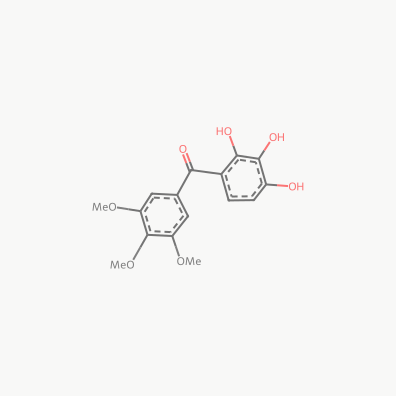 COc1cc(C(=O)c2ccc(O)c(O)c2O)cc(OC)c1OC